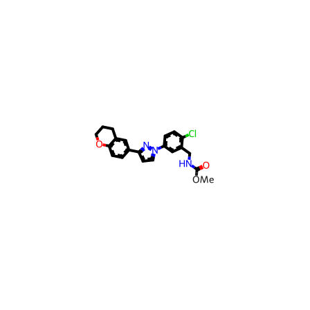 COC(=O)NCc1cc(-n2ccc(-c3ccc4c(c3)CCCO4)n2)ccc1Cl